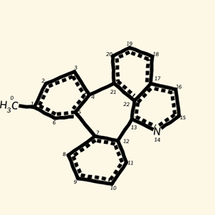 Cc1ccc2c(c1)-c1ccccc1-c1nccc3cccc-2c13